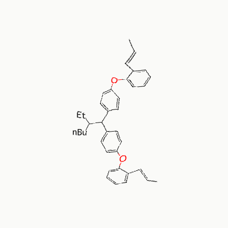 CC=Cc1ccccc1Oc1ccc(C(c2ccc(Oc3ccccc3C=CC)cc2)C(CC)CCCC)cc1